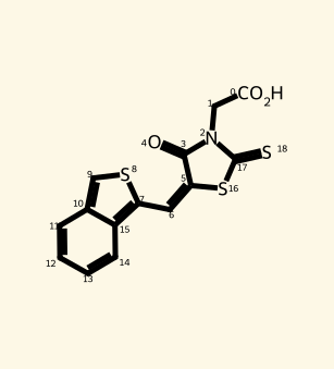 O=C(O)CN1C(=O)C(=Cc2scc3ccccc23)SC1=S